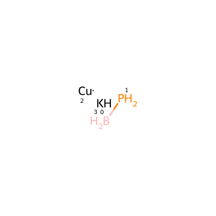 BP.[Cu].[KH]